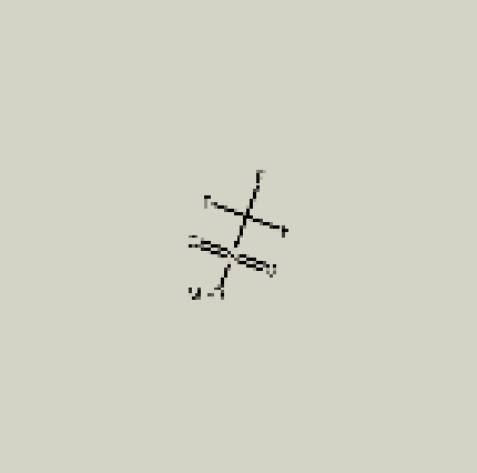 [13CH3]OS(=O)(=O)C(F)(F)F